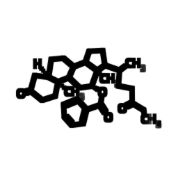 CCC(=O)CCC(C)C1CCC2C3CC[C@@H]4CC(=O)CC[C@]4(C)C3C[C@H](OC(=O)c3ccccc3)[C@]12C